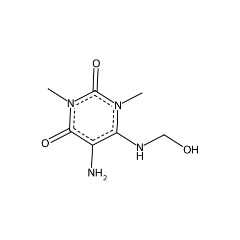 Cn1c(NCO)c(N)c(=O)n(C)c1=O